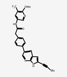 COc1ncc(NC(=O)Cc2ccc(-c3cnc4[nH]c(C#CC(C)(C)C)cc4c3)cc2)cc1C(F)(F)F